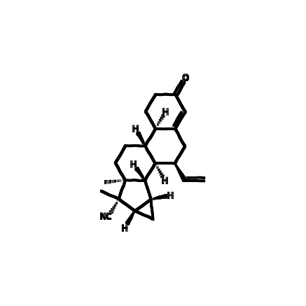 C=C[C@@H]1CC2=CC(=O)CC[C@@H]2[C@H]2CC[C@@]3(C)[C@@H]([C@@H]4C[C@@H]4[C@]3(C)C#N)[C@@H]21